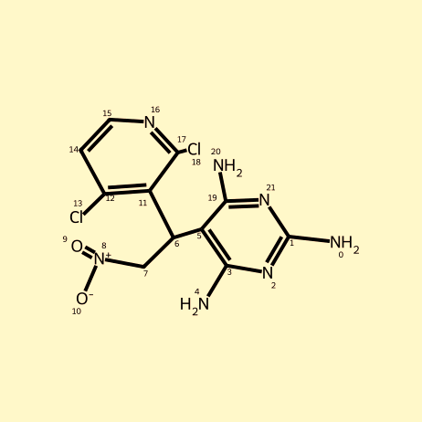 Nc1nc(N)c(C(C[N+](=O)[O-])c2c(Cl)ccnc2Cl)c(N)n1